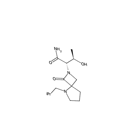 CC(C)CN1CCCC12CN([C@H](C(N)=O)[C@@H](C)O)C2=O